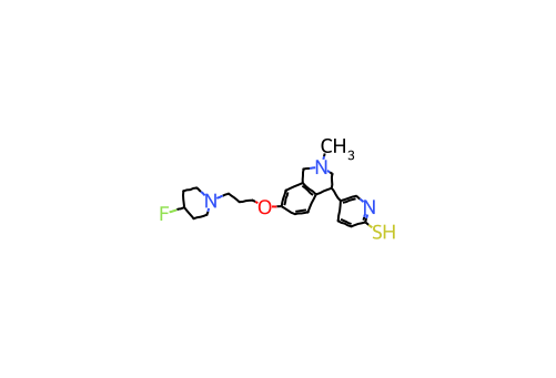 CN1Cc2cc(OCCCN3CCC(F)CC3)ccc2C(c2ccc(S)nc2)C1